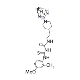 CCC/C=N\C(=N/C)N1CCC(CCNC(=O)NC(=S)Nc2ccc(OC)cc2C)CC1